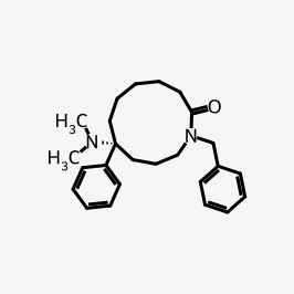 CN(C)[C@]1(c2ccccc2)CCCCCC(=O)N(Cc2ccccc2)CCC1